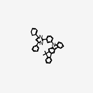 CC1(C)c2ccccc2-c2cc3c4ccccc4n(-c4cccc(-c5nc(C6=CC=CCC6)cc(-c6ccccc6)n5)c4)c3cc21